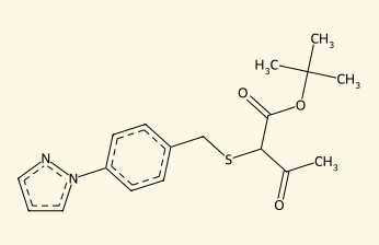 CC(=O)C(SCc1ccc(-n2cccn2)cc1)C(=O)OC(C)(C)C